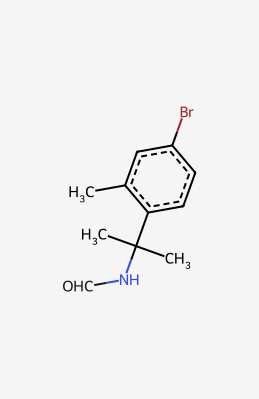 Cc1cc(Br)ccc1C(C)(C)NC=O